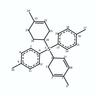 CC1=CCC(S(c2ccc(C)cc2)(c2ccc(C)cc2)C2CC=C(C)CC2)C=C1